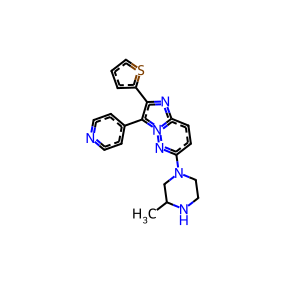 CC1CN(c2ccc3nc(-c4cccs4)c(-c4ccncc4)n3n2)CCN1